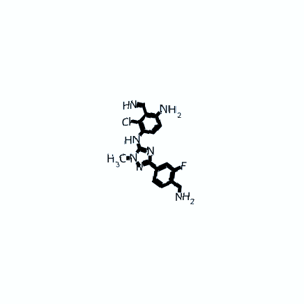 Cn1nc(-c2ccc(CN)c(F)c2)nc1Nc1ccc(N)c(C=N)c1Cl